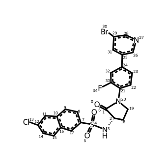 O=C1[C@@H](NS(=O)(=O)c2ccc3cc(Cl)ccc3c2)CCN1c1ccc(-c2cncc(Br)c2)cc1F